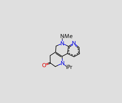 CNN1CC2=C(c3cccnc31)N(C(C)C)CC(=O)C2